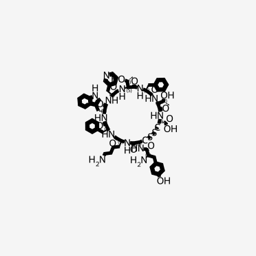 C[C@@H](O)[C@@H]1NC(=O)[C@H](Cc2ccccc2)NC(=O)[C@H]([C@@H](C)O)NC(=O)[C@H](Cc2cccnc2)NC(=O)[C@@H](Cc2c[nH]c3ccccc23)NC(=O)[C@H](Cc2ccccc2)NC(=O)[C@H](CCCCN)NC(=O)[C@@H](NC(=O)[C@@H](N)Cc2ccc(O)cc2)CSSC[C@@H](C(=O)O)NC1=O